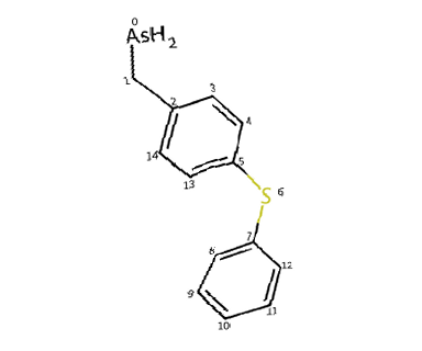 [AsH2]Cc1ccc(Sc2ccccc2)cc1